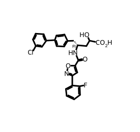 O=C(N[C@H](Cc1ccc(-c2cccc(Cl)c2)cc1)CC(O)C(=O)O)c1cc(-c2ccccc2F)no1